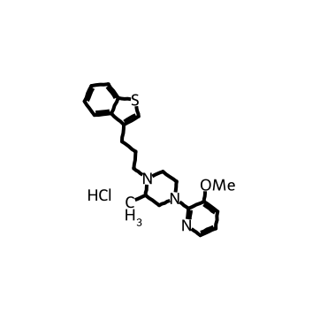 COc1cccnc1N1CCN(CCCc2csc3ccccc23)C(C)C1.Cl